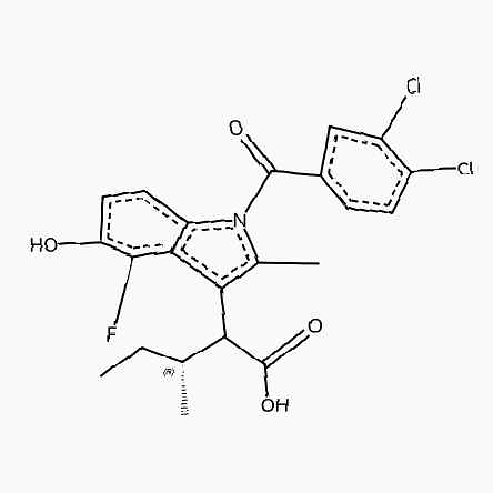 CC[C@@H](C)C(C(=O)O)c1c(C)n(C(=O)c2ccc(Cl)c(Cl)c2)c2ccc(O)c(F)c12